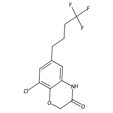 O=C1COc2c(Cl)cc(CCCC(F)(F)F)cc2N1